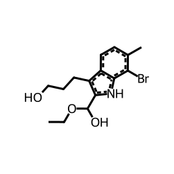 CCOC(O)c1[nH]c2c(Br)c(C)ccc2c1CCCO